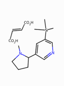 CN1CCCC1c1cncc([Si](C)(C)C)c1.O=C(O)C=CC(=O)O